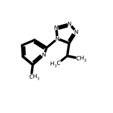 Cc1cccc(-n2nnnc2C(C)C)n1